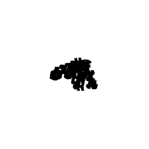 C=CC(=O)Nc1cc(Nc2nccc(/C(=C(/C)CCCCC)c3ccccc3C)n2)c(CC)cc1N(C)CCN(C)C